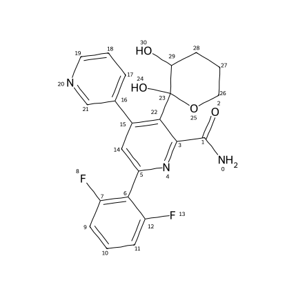 NC(=O)c1nc(-c2c(F)cccc2F)cc(-c2cccnc2)c1C1(O)OCCCC1O